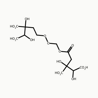 O=C(CC(O)(C(=O)O)C(O)C(=O)O)OCOOCCC(O)(C(=O)O)C(O)C(=O)O